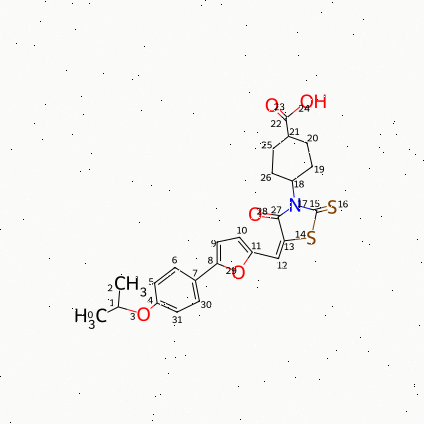 CC(C)Oc1ccc(-c2ccc(/C=C3/SC(=S)N(C4CCC(C(=O)O)CC4)C3=O)o2)cc1